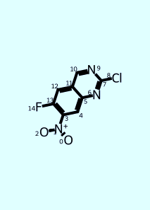 O=[N+]([O-])c1cc2nc(Cl)ncc2cc1F